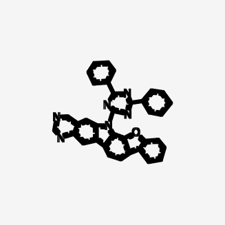 c1ccc(-c2nc(-c3ccccc3)nc(-n3c4cc5cncnc5cc4c4ccc5c6ccccc6oc5c43)n2)cc1